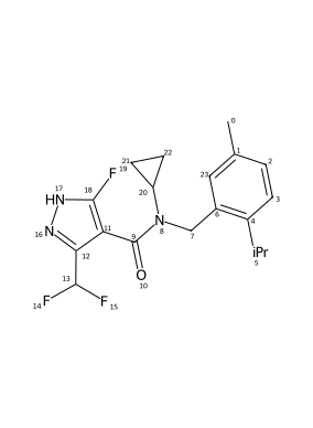 Cc1ccc(C(C)C)c(CN(C(=O)c2c(C(F)F)n[nH]c2F)C2CC2)c1